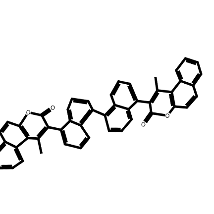 Cc1c(-c2cccc3c(-c4cccc5c(-c6c(C)c7c(ccc8ccccc87)oc6=O)cccc45)cccc23)c(=O)oc2ccc3ccccc3c12